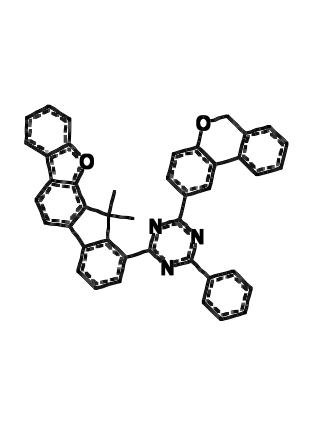 CC1(C)c2c(-c3nc(-c4ccccc4)nc(-c4ccc5c(c4)-c4ccccc4CO5)n3)cccc2-c2ccc3c(oc4ccccc43)c21